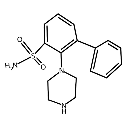 NS(=O)(=O)c1cccc(-c2ccccc2)c1N1CCNCC1